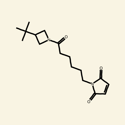 CC(C)(C)C1CN(C(=O)CCCCCN2C(=O)C=CC2=O)C1